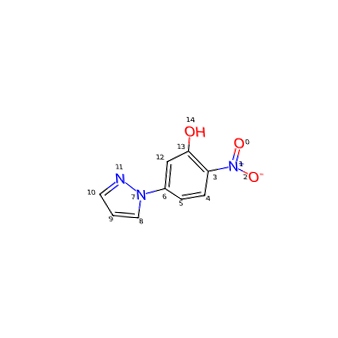 O=[N+]([O-])c1ccc(-n2cccn2)cc1O